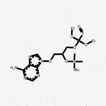 CCOC(OCC)(OCC(COn1cnc2c(N)ncnc21)O[Si](C)(C)C(C)(C)C)P=O